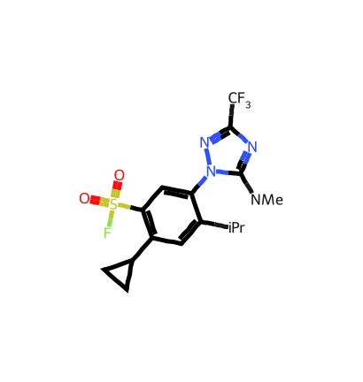 CNc1nc(C(F)(F)F)nn1-c1cc(S(=O)(=O)F)c(C2CC2)cc1C(C)C